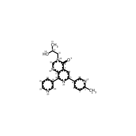 Cc1ccc(-c2cc3c(=O)n(C[C@H](C)O)cnc3c(-c3cccnc3)n2)cn1